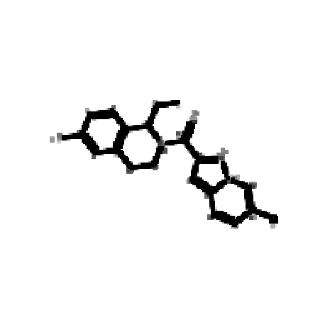 CCC1c2ccc(F)cc2CCN1C(=O)c1cc2ccc(Br)cn2n1